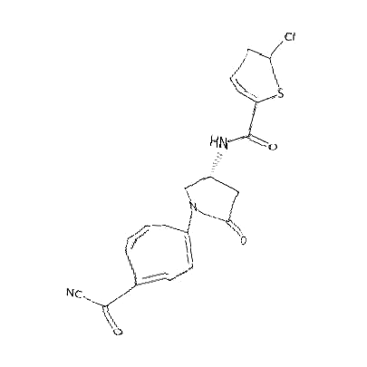 N#CC(=O)c1ccc(N2C[C@H](NC(=O)C3=CCC(Cl)S3)CC2=O)cc1